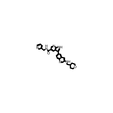 O=C(NCc1cccnc1)c1cnc2[nH]cc(-c3ccc4ncc(NCC5CCOCC5)cc4c3)c2c1